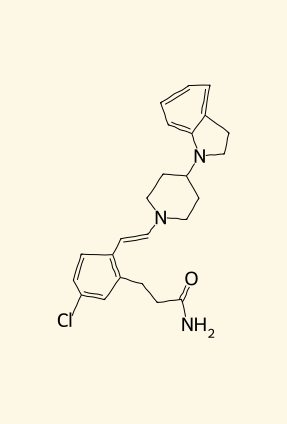 NC(=O)CCc1cc(Cl)ccc1C=CN1CCC(N2CCc3ccccc32)CC1